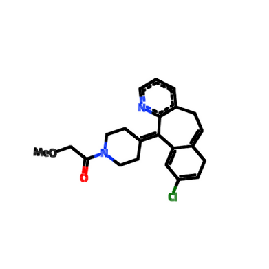 COCC(=O)N1CCC(=C2C3=CC(Cl)=CCC3=CCc3cccnc32)CC1